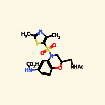 CC(=O)NCC1CN(S(=O)(=O)c2sc(C)nc2C)c2cc(NC(=O)O)ccc2O1